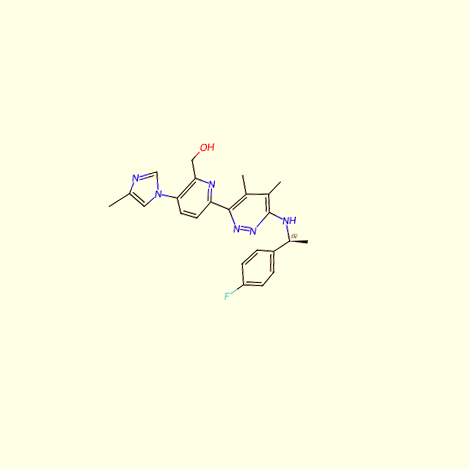 Cc1cn(-c2ccc(-c3nnc(N[C@@H](C)c4ccc(F)cc4)c(C)c3C)nc2CO)cn1